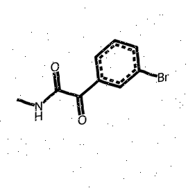 CNC(=O)C(=O)c1cccc(Br)c1